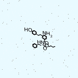 CCCCOC(=O)[C@H](CCc1ccccc1)NC(=O)c1ccc(N)c(CCc2ccc(O)cc2)c1